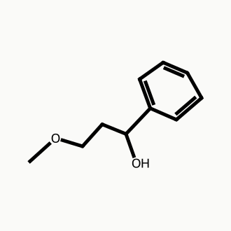 COCCC(O)c1ccccc1